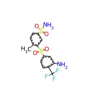 Cc1ccc(S(N)(=O)=O)cc1S(=O)(=O)c1ccc(C(F)(F)F)c(N)c1